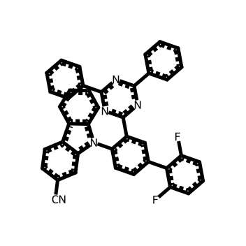 N#Cc1ccc2c3ccccc3n(-c3ccc(-c4c(F)cccc4F)cc3-c3nc(-c4ccccc4)nc(-c4ccccc4)n3)c2c1